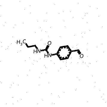 CCCNC(=O)Nc1ccc(C=O)cc1